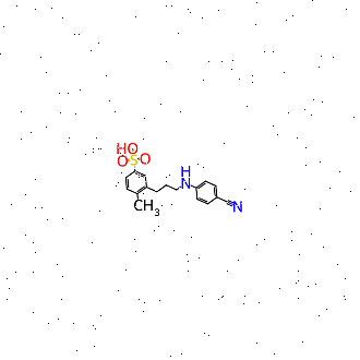 Cc1ccc(S(=O)(=O)O)cc1CCCNc1ccc(C#N)cc1